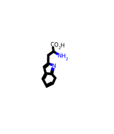 NC(CC1=CC2=CC=CCC2=N1)C(=O)O